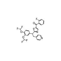 O=C(c1cnc(C(Cc2ccncc2)c2ccc(OC(F)F)c(OC(F)F)c2)s1)c1ccccc1F